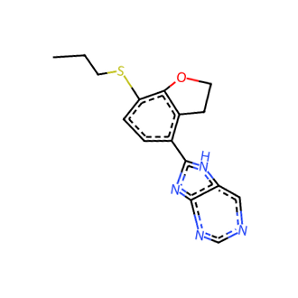 CCCSc1ccc(-c2nc3ncncc3[nH]2)c2c1OCC2